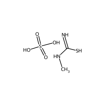 CNC(=N)S.O=S(=O)(O)O